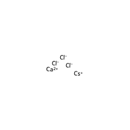 [Ca+2].[Cl-].[Cl-].[Cl-].[Cs+]